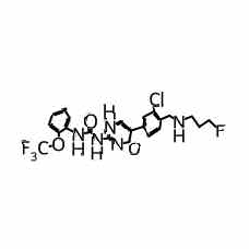 O=C(Nc1nc(=O)c(-c2ccc(CNCCCF)c(Cl)c2)c[nH]1)Nc1ccccc1OC(F)(F)F